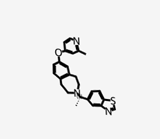 Cc1cc(Oc2ccc3c(c2)CCN([C@@H](C)c2ccc4scnc4c2)CC3)ccn1